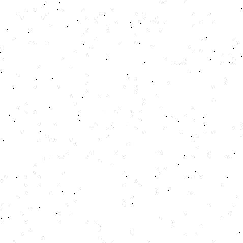 CC(O)c1cc(N(S)C(=O)NCc2ccc(C(F)(F)F)cc2)cc(Cl)c1O